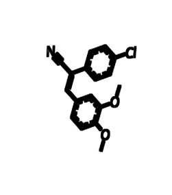 COc1ccc(/C=C(/C#N)c2ccc(Cl)cc2)cc1OC